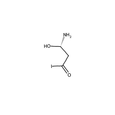 N[C@@H](O)CC(=O)I